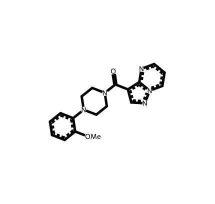 COc1ccccc1N1CCN(C(=O)c2cnn3cccnc23)CC1